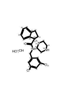 Cl.Cl.O=C(NCc1cc(Cl)cc(Cl)c1)[C@]1(N2CCNCC2)CCc2ccccc21